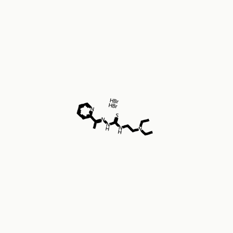 Br.Br.CCN(CC)CCNC(=S)NN=C(C)c1ccccn1